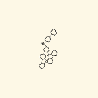 c1ccc(-c2ccc(Nc3ccc(C4(c5cccc6c5oc5ccccc56)c5ccccc5-c5ccccc54)cc3)cc2)cc1